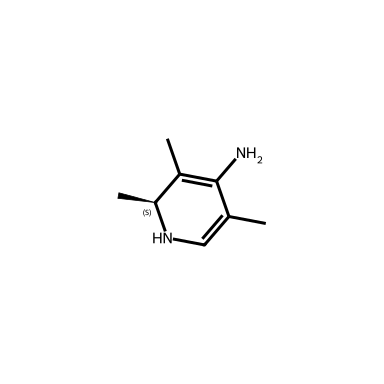 CC1=CN[C@@H](C)C(C)=C1N